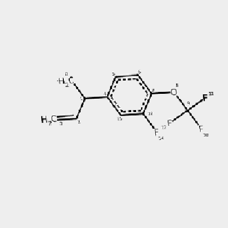 [CH2]C(C=C)c1ccc(OC(F)(F)F)c(F)c1